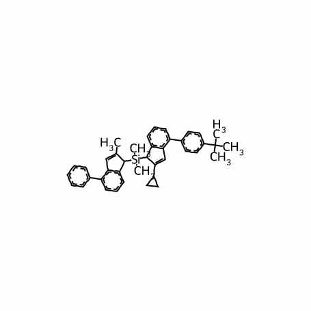 CC1=Cc2c(-c3ccccc3)cccc2C1[Si](C)(C)C1C(C2CC2)=Cc2c(-c3ccc(C(C)(C)C)cc3)cccc21